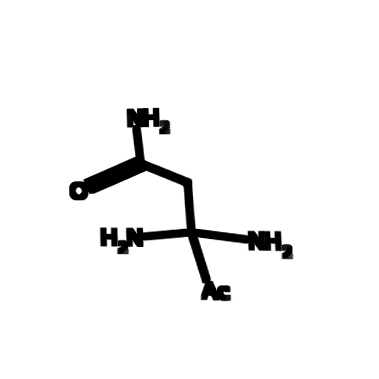 CC(=O)C(N)(N)CC(N)=O